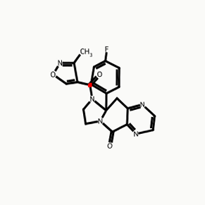 Cc1nocc1C(=O)N1CCN2C(=O)c3nccnc3CC12c1ccc(F)cc1